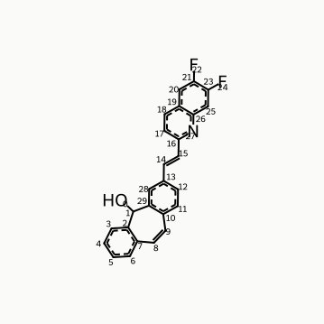 OC1c2ccccc2C=Cc2ccc(/C=C/c3ccc4cc(F)c(F)cc4n3)cc21